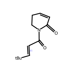 CC(C)(C)/C=C/C(=O)N1CCC=CC1=O